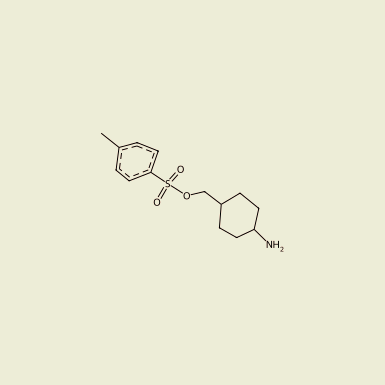 Cc1ccc(S(=O)(=O)OCC2CCC(N)CC2)cc1